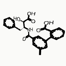 Cc1cc(C(=O)N[C@H](Cc2ccccc2)[C@@H](O)C(=O)O)cc(-c2ccccc2C(=O)O)c1